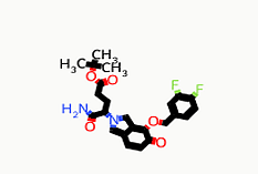 CC(C)(C)OC(=O)CCC(C(N)=O)N1C=C2C=CC(=O)C(OCc3ccc(F)c(F)c3)=C2C1